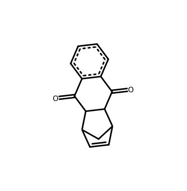 O=C1c2ccccc2C(=O)C2C3C=CC(C3)C12